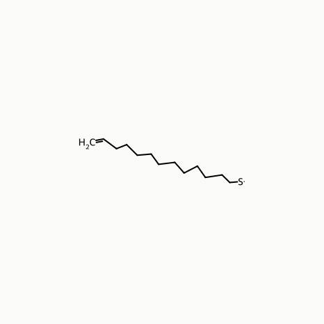 C=CCCCCCCCCCCC[S]